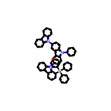 c1ccc(-n2c3ccc(-n4c5ccccc5c5ccccc54)cc3c3cc(-n4c5ccccc5c5cccc([Si](c6ccccc6)(c6ccccc6)c6ccccc6)c54)ccc32)cc1